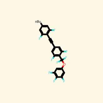 CCCCc1cc(F)c(C#Cc2cc(F)c(C(F)(F)Oc3cc(F)c(F)c(F)c3)c(F)c2)c(F)c1